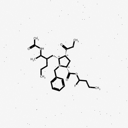 CCCC(F)OC(=O)[C@H]1C[C@@H](C(=O)CC)[C@@H](CC(CCC)C(C)NC(C)=O)N1Cc1ccccc1